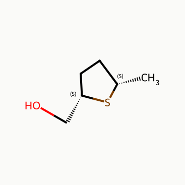 C[C@H]1CC[C@@H](CO)S1